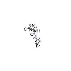 O=C(/C=C/c1ccc(Br)s1)Nc1cncc(Cl)n1